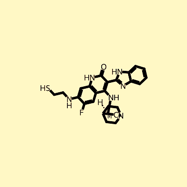 O=c1[nH]c2cc(NCCS)c(F)cc2c(N[C@H]2CN3CCC2CC3)c1-c1nc2ccccc2[nH]1